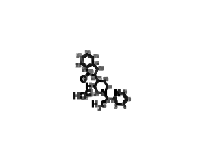 CC(c1ccccn1)N1CCC(C2Cc3ccccc3C2=O)CC1.Cl.Cl